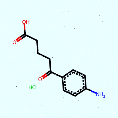 Cl.Nc1ccc(C(=O)CCCC(=O)O)cc1